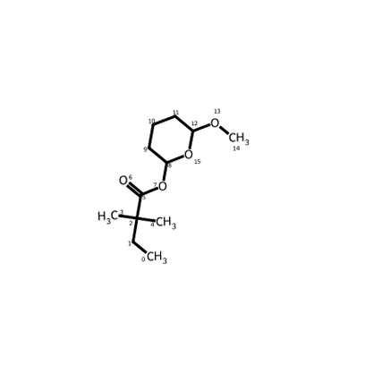 CCC(C)(C)C(=O)OC1CCCC(OC)O1